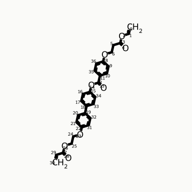 C=COC(=O)CCOc1ccc(C(=O)Oc2ccc(-c3ccc(OCCOC(=O)C=C)cc3)cc2)cc1